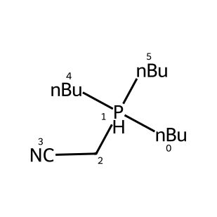 CCCC[PH](CC#N)(CCCC)CCCC